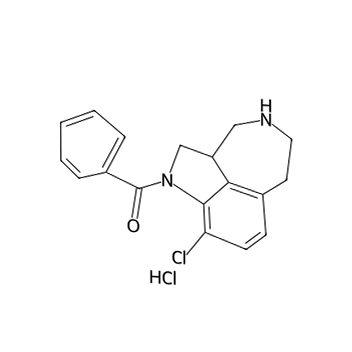 Cl.O=C(c1ccccc1)N1CC2CNCCc3ccc(Cl)c1c32